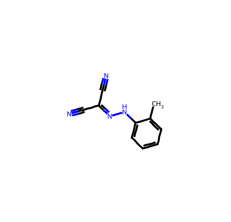 Cc1ccccc1NN=C(C#N)C#N